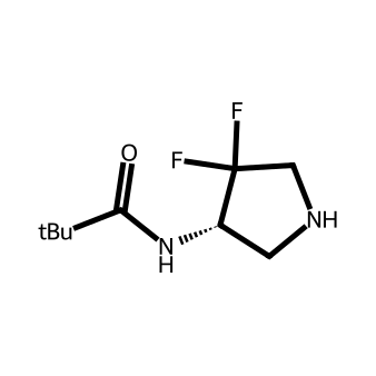 CC(C)(C)C(=O)N[C@H]1CNCC1(F)F